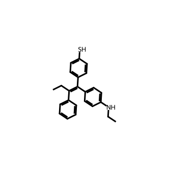 CCNc1ccc(/C(=C(/CC)c2ccccc2)c2ccc(S)cc2)cc1